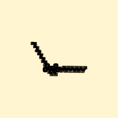 CCCCCCCCCCCCCOC(=O)C(CC)SC(CC)C(=O)OCCCCCCCCCCCCC